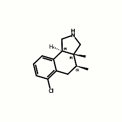 C[C@H]1Cc2c(Cl)cccc2[C@H]2CNC[C@@]21C